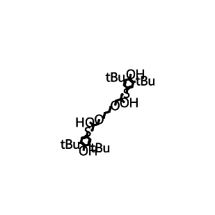 CC(C)(C)c1cc(SCC(O)COCCCCOCC(O)CSc2cc(C(C)(C)C)c(O)c(C(C)(C)C)c2)cc(C(C)(C)C)c1O